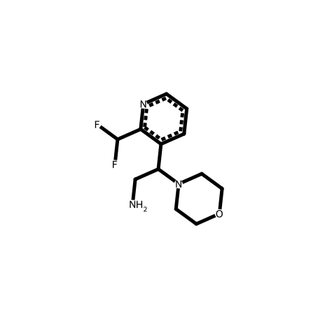 NCC(c1cccnc1C(F)F)N1CCOCC1